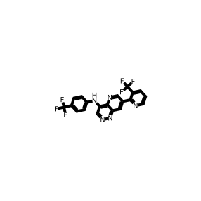 FC(F)(F)c1ccc(Nc2cnnc3cc(-c4ncccc4C(F)(F)F)cnc23)cc1